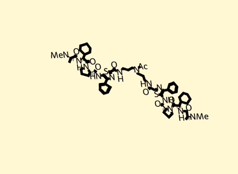 CN[C@@H](C)C(=O)N[C@H](C(=O)N1CCC[C@H]1C(=O)Nc1sc(C(=O)NCCCN(CCCNC(=O)c2nc(-c3ccccc3)c(NC(=O)[C@@H]3CCCN3C(=O)[C@@H](NC(=O)[C@H](C)NC)C3CCCCC3)s2)C(C)=O)nc1-c1ccccc1)C1CCCCC1